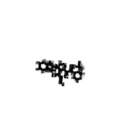 NC(=O)c1c(C(=O)Nc2ccccc2C(F)(F)F)ncn1-c1nc2ccccc2[nH]1